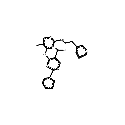 Cc1cnc(NCCc2cccnc2)nc1Nc1nc(-c2ccccc2)ncc1C(N)=O